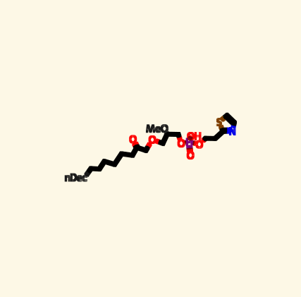 CCCCCCCCCCCCCCCCC(=O)COCC(COP(=O)(O)OCCc1nccs1)OC